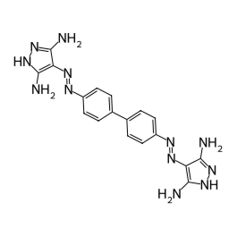 Nc1n[nH]c(N)c1N=Nc1ccc(-c2ccc(N=Nc3c(N)n[nH]c3N)cc2)cc1